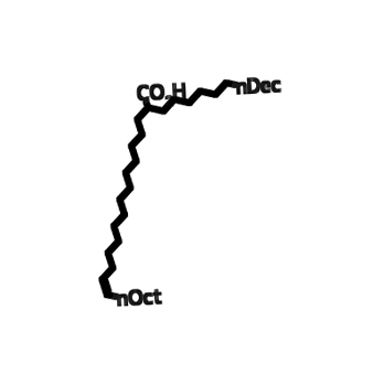 CCCCCCCC/C=C\CCCCCCCCCCCCC(CCCCCCCCCCCCCCCC)C(=O)O